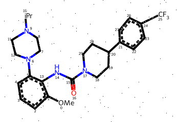 COc1cccc(N2CCN(C(C)C)CC2)c1NC(=O)N1CCC(c2ccc(C(F)(F)F)cc2)CC1